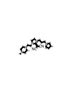 CN1CCN(CCN2CCN(CCCN3CCCC3)C2=C(C#N)C#N)CC1